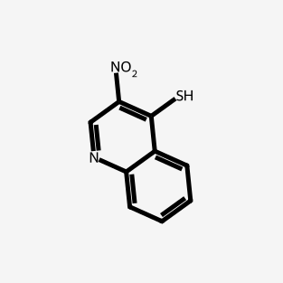 O=[N+]([O-])c1cnc2ccccc2c1S